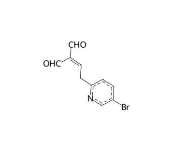 O=CC(C=O)=CCc1ccc(Br)cn1